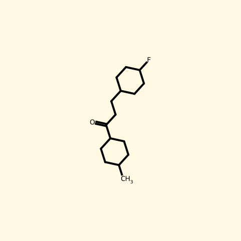 CC1CCC(C(=O)CCC2CCC(F)CC2)CC1